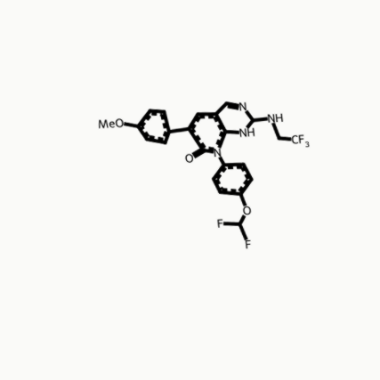 COc1ccc(-c2cc3c(n(-c4ccc(OC(F)F)cc4)c2=O)NC(NCC(F)(F)F)N=C3)cc1